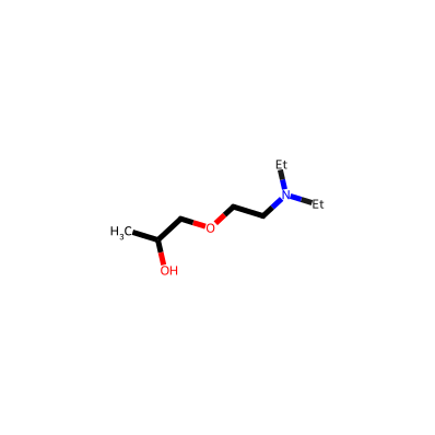 CCN(CC)CCOCC(C)O